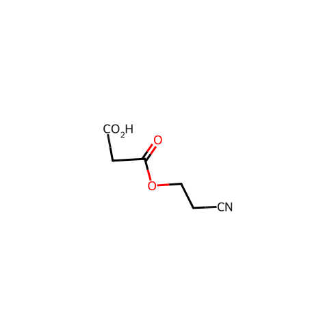 N#CCCOC(=O)CC(=O)O